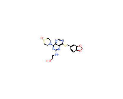 [O-][S+]1CCN(c2nc(NCCO)nc3c(SCc4ccc5c(c4)OCO5)ncnc23)CC1